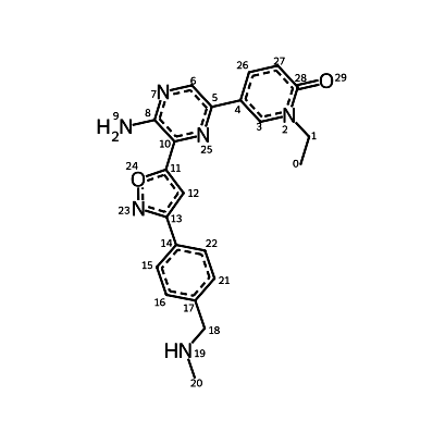 CCn1cc(-c2cnc(N)c(-c3cc(-c4ccc(CNC)cc4)no3)n2)ccc1=O